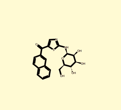 O=C(c1ccc2ccccc2c1)c1cnc(N[C@@H]2O[C@H](CO)[C@@H](O)[C@H](O)[C@@H]2O)s1